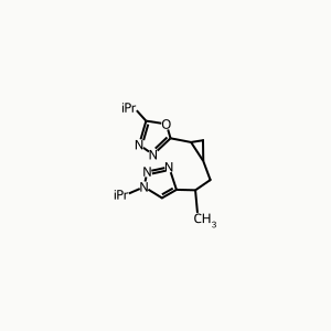 CC(C)c1nnc(C2CC2CC(C)c2cn(C(C)C)nn2)o1